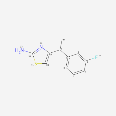 CC(c1cccc(F)c1)c1csc(N)n1